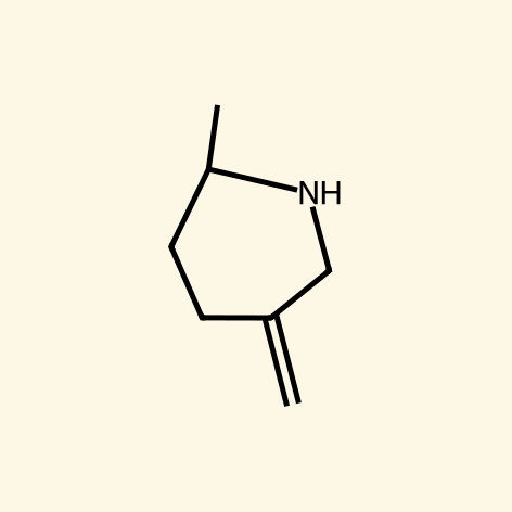 C=C1CCC(C)NC1